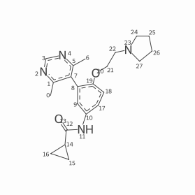 Cc1ncnc(C)c1-c1cc(NC(=O)C2CC2)ccc1OCCN1CCCC1